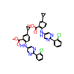 COC(=O)c1cc(C2CC2)ccc1Nc1cnc(-c2ccccc2Cl)nc1.O=C(O)c1cc(C2CC2)ccc1Nc1cnc(-c2ccccc2Cl)nc1